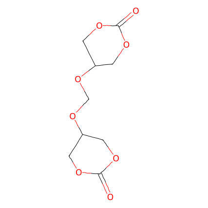 O=C1OCC(OCOC2COC(=O)OC2)CO1